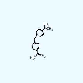 C=C(C)c1ccc(Cc2ccc(C(=C)C)cc2)cc1